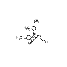 C=CCc1ccc(OP(Oc2ccc(CC=C)cc2OC)Oc2ccc(CC=C)cc2OC)c(OC)c1